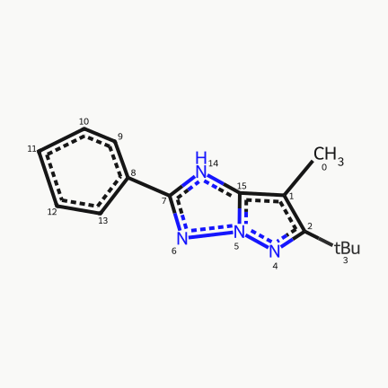 Cc1c(C(C)(C)C)nn2nc(-c3ccccc3)[nH]c12